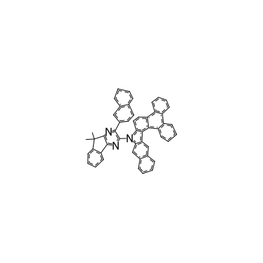 CC1(C)c2ccccc2-c2nc(-n3c4cc5ccccc5cc4c4c5c6ccccc6c6ccccc6c5ccc43)c(-c3ccc4ccccc4c3)nc21